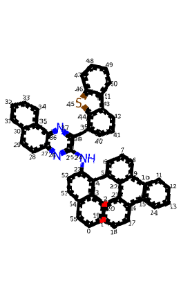 c1ccc2c(-c3cccc4c5ccccc5c5ccccc5c34)c(Nc3nc4ccc5ccccc5c4nc3-c3cccc4c3sc3ccccc34)ccc2c1